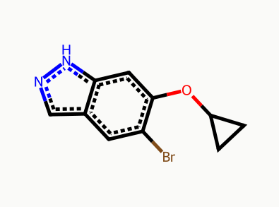 Brc1cc2cn[nH]c2cc1OC1CC1